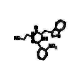 N#CCCNC(=O)C(Cc1csc2ccccc12)NC(=O)c1ccccc1[N+](=O)[O-]